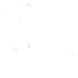 O=C(O)c1cnn(-c2cc[c]c(F)c2)c1